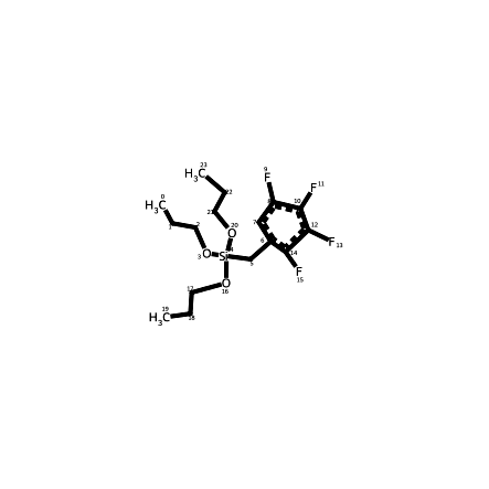 CCCO[Si](Cc1cc(F)c(F)c(F)c1F)(OCCC)OCCC